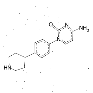 Nc1ccn(-c2ccc(C3CCNCC3)cc2)c(=O)n1